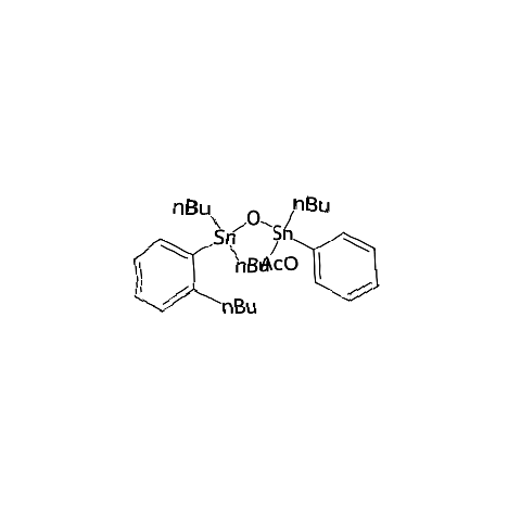 CCCCc1cccc[c]1[Sn]([CH2]CCC)([CH2]CCC)[O][Sn]([CH2]CCC)([O]C(C)=O)[c]1ccccc1